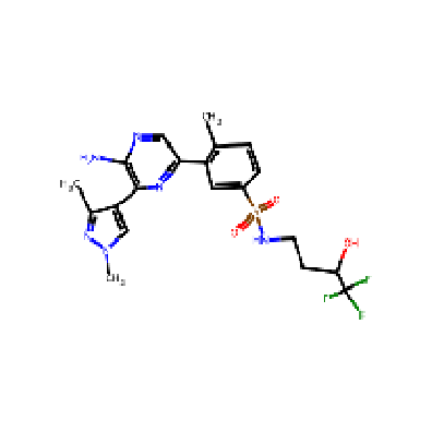 Cc1ccc(S(=O)(=O)NCCC(O)C(F)(F)F)cc1-c1cnc(N)c(-c2cn(C)nc2C)n1